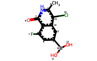 Cc1[nH]c(=O)c2c(F)cc(B(O)O)cc2c1Cl